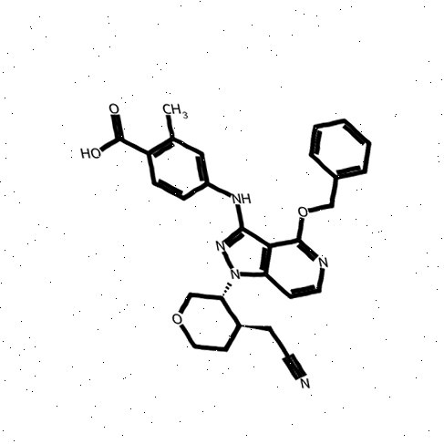 Cc1cc(Nc2nn([C@H]3COCC[C@@H]3CC#N)c3ccnc(OCc4ccccc4)c23)ccc1C(=O)O